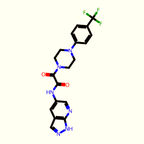 O=C(Nc1cnc2[nH]ncc2c1)C(=O)N1CCN(c2ccc(C(F)(F)F)cc2)CC1